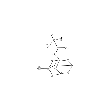 CCCC(C)(C(=O)OC12CC3CC(CC(O)(C3)C1)C2)C(C)C